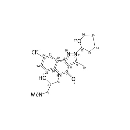 CNCC(O)Cn1c(=O)c2c(C)n(C3CCCCO3)nc2c2cc(Cl)ccc21